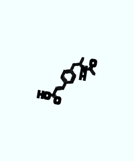 CC(=O)NC(C)Cc1ccc(/C=C/C(=O)O)cc1